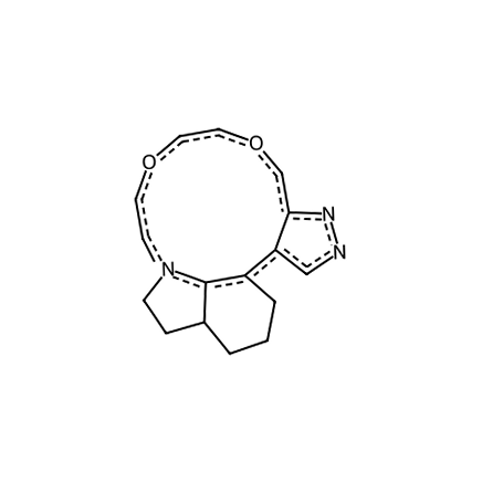 c1cocc2nncc-2c2c3n(cco1)CCC3CCC2